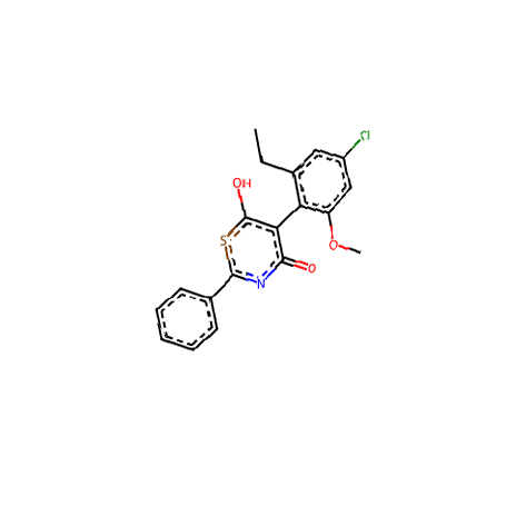 CCc1cc(Cl)cc(OC)c1-c1c(O)sc(-c2ccccc2)nc1=O